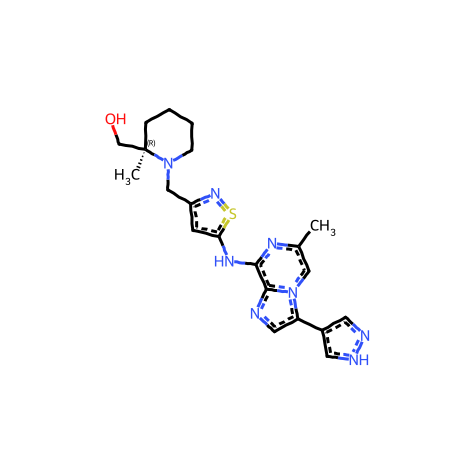 Cc1cn2c(-c3cn[nH]c3)cnc2c(Nc2cc(CN3CCCC[C@]3(C)CO)ns2)n1